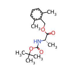 Cc1cccc(C)c1COC(=O)[C@H](C)NC(=O)OC(C)(C)C